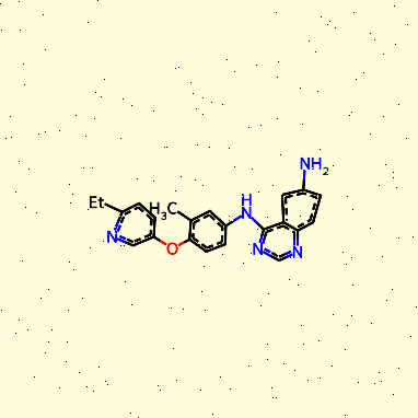 CCc1ccc(Oc2ccc(Nc3ncnc4ccc(N)cc34)cc2C)cn1